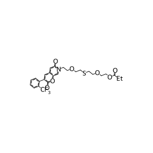 CCC(=O)OCCOCCSCCOCCn1cc2oc(=O)c(-c3ccccc3C(F)(F)F)cc2cc1=O